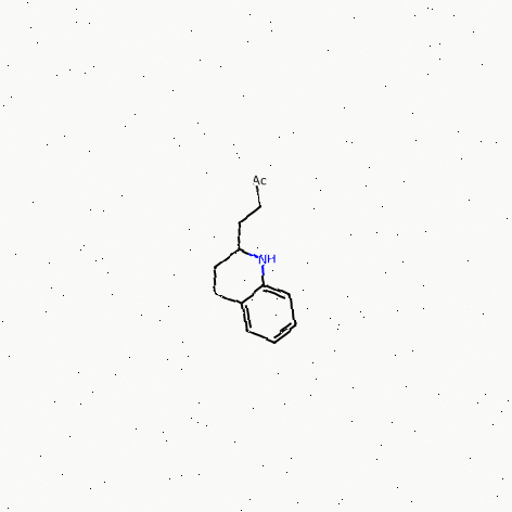 CC(=O)CCC1CCc2ccccc2N1